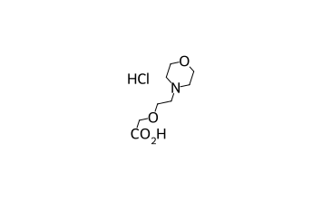 Cl.O=C(O)COCCN1CCOCC1